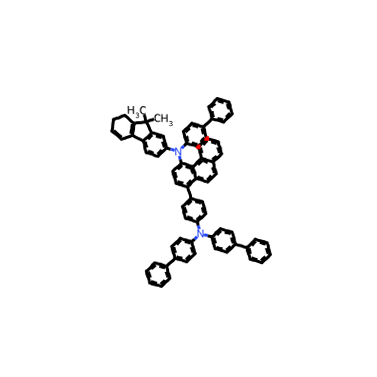 CC1(C)C2=C(C=CCC2)c2ccc(N(c3ccc(-c4ccccc4)cc3)c3ccc(-c4ccc(N(c5ccc(-c6ccccc6)cc5)c5ccc(-c6ccccc6)cc5)cc4)c4ccc5ccccc5c34)cc21